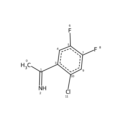 CC(=N)c1cc(F)c(F)cc1Cl